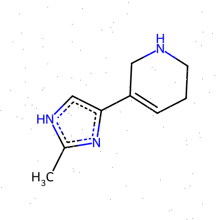 Cc1nc(C2=CCCNC2)c[nH]1